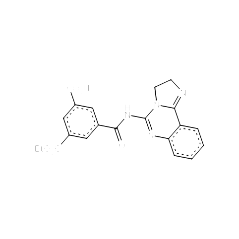 CCOC(=O)c1cc(C(=O)O)cc(C(=O)NC2=Nc3ccccc3C3=NCCN23)c1